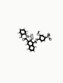 COc1cc([N+](=O)[O-])ccc1N=Nc1c(O)c(C(=O)Nc2ccccc2C)cc2ccccc12